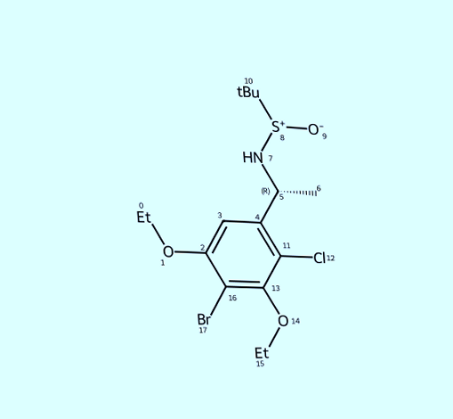 CCOc1cc([C@@H](C)N[S+]([O-])C(C)(C)C)c(Cl)c(OCC)c1Br